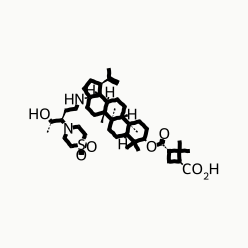 C=C(C)[C@@H]1CC[C@]2(NCC[C@H]([C@H](C)O)N3CCS(=O)(=O)CC3)CC[C@]3(C)[C@H](CC[C@@H]4[C@@]5(C)CC[C@H](OC(=O)[C@H]6C[C@@H](C(=O)O)C6(C)C)C(C)(C)[C@@H]5CC[C@]43C)[C@@H]12